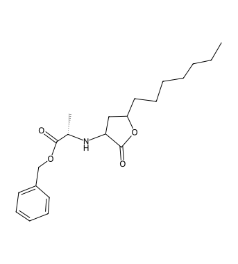 CCCCCCCC1CC(N[C@@H](C)C(=O)OCc2ccccc2)C(=O)O1